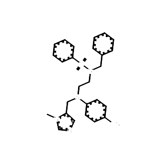 Cn1cncc1CN(CCN(Cc1ccccc1)S(=O)(=O)c1ccccc1)c1ccc(C#N)cc1